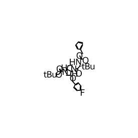 CC(C)(C)OC(=O)N1C[C@H](OCc2ccc(F)cc2)[C@@H]2[C@H]1CCN2C(=O)[C@@H](NC(=O)OCc1ccccc1)C(C)(C)C